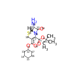 CC(C)(C)OC(=O)C1=C(C(=O)OC2CCCCC2)CS[C@@H]2C(N)C(=O)N12